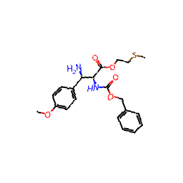 COc1ccc([C@@H](N)[C@H](NC(=O)OCc2ccccc2)C(=O)OCCSC)cc1